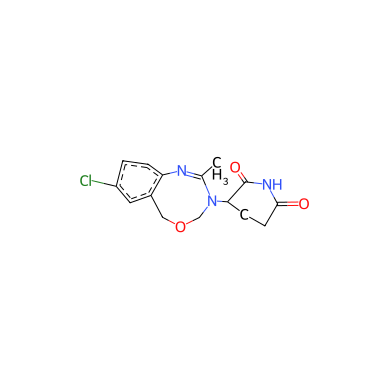 C/C1=N/c2ccc(Cl)cc2COCN1C1CCC(=O)NC1=O